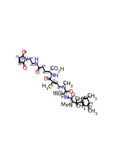 CN[C@H](C(=O)NC(C(=O)N(C)C/C=C(\C)C(=O)N[C@H](CCC(=O)NCCN1C(=O)C=CC1=O)C(=O)O)C(C)(C)C)C(C)(C)c1cc(C)cc(C)c1